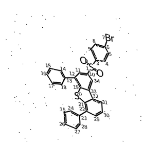 O=S(=O)(c1ccc(Br)cc1)c1cc(-c2ccccc2)c2sc3c(-c4ccccc4)cccc3c2c1